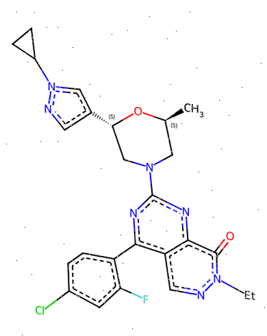 CCn1ncc2c(-c3ccc(Cl)cc3F)nc(N3C[C@H](C)O[C@@H](c4cnn(C5CC5)c4)C3)nc2c1=O